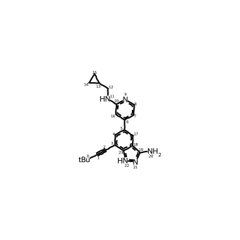 CC(C)(C)C#Cc1cc(-c2ccnc(NCC3CC3)c2)cc2c(N)n[nH]c12